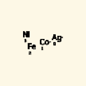 [Ag].[Co].[Fe].[Ni]